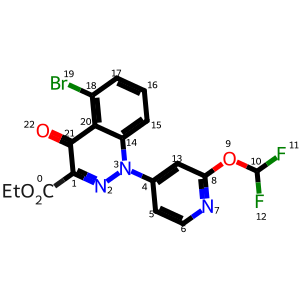 CCOC(=O)c1nn(-c2ccnc(OC(F)F)c2)c2cccc(Br)c2c1=O